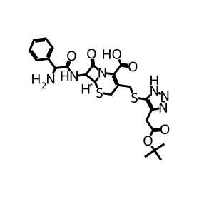 CC(C)(C)OC(=O)Cc1nn[nH]c1SCC1=C(C(=O)O)N2C(=O)C(NC(=O)C(N)c3ccccc3)[C@@H]2SC1